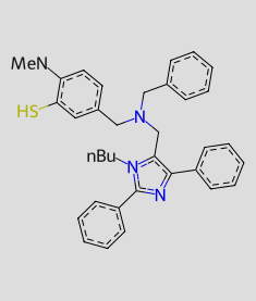 CCCCn1c(-c2ccccc2)nc(-c2ccccc2)c1CN(Cc1ccccc1)Cc1ccc(NC)c(S)c1